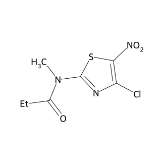 CCC(=O)N(C)c1nc(Cl)c([N+](=O)[O-])s1